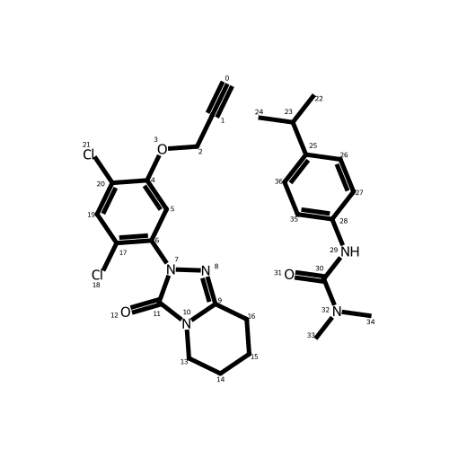 C#CCOc1cc(-n2nc3n(c2=O)CCCC3)c(Cl)cc1Cl.CC(C)c1ccc(NC(=O)N(C)C)cc1